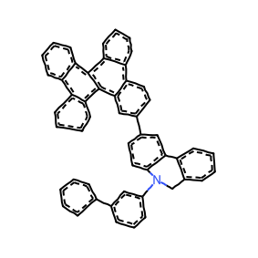 c1ccc(-c2cccc(N3Cc4ccccc4-c4cc(-c5ccc6c7ccccc7c7c8ccccc8c8ccccc8c7c6c5)ccc43)c2)cc1